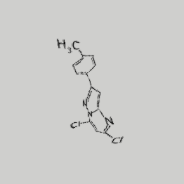 Cc1ccc(-c2cc3nc(Cl)cc(Cl)n3n2)cc1